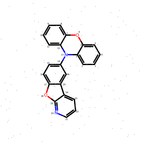 c1ccc2c(c1)Oc1ccccc1N2c1ccc2oc3ncccc3c2c1